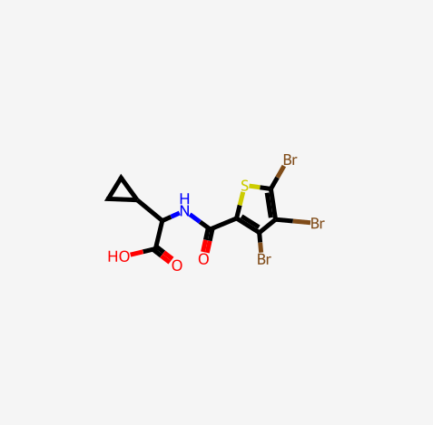 O=C(NC(C(=O)O)C1CC1)c1sc(Br)c(Br)c1Br